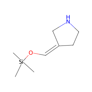 C[Si](C)(C)OC=C1CCNC1